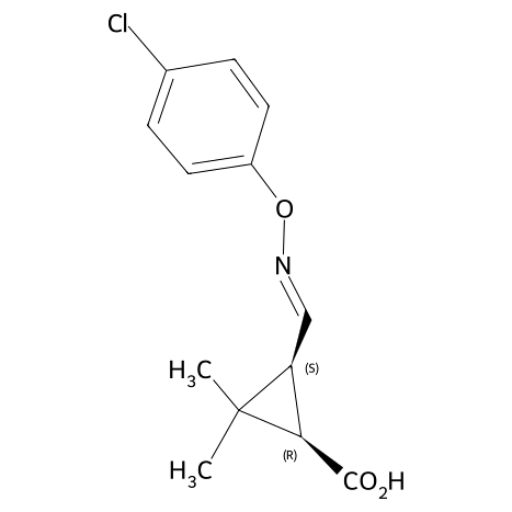 CC1(C)[C@H](C(=O)O)[C@@H]1C=NOc1ccc(Cl)cc1